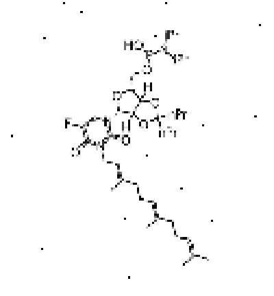 CCCC1(CCC)O[C@@H]2[C@H](O1)[C@H](n1cc(F)c(=O)n(C/C=C(\C)CC/C=C(\C)CCC=C(C)C)c1=O)O[C@@H]2COP(O)N(C(C)C)C(C)C